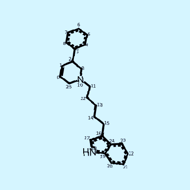 C1=CC(c2ccccc2)CN(CCCCCc2c[nH]c3ccccc23)C1